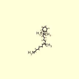 CN(CCCCCCN)CCCCC(C)(C)N1CCCCC1